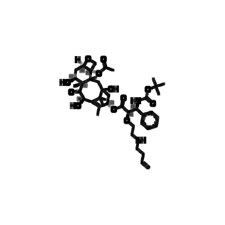 C=CCCNCCO[C@@H](C(=O)O[C@H]1CC2(O)CC3(C)[C@]4(OC(C)=O)CO[C@@H]4C[C@H](O)[C@@]3(C)C(=O)[C@H](O)C(=C1C)C2(C)C)[C@@H](NC(=O)OC(C)(C)C)c1ccccc1